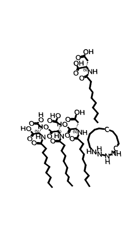 C1CCCCCNNNNCCCC1.CCCCCCCCCC(=O)N[C@@H](CC(=O)O)C(=O)O.CCCCCCCCCC(=O)N[C@@H](CC(=O)O)C(=O)O.CCCCCCCCCC(=O)N[C@@H](CC(=O)O)C(=O)O.CCCCCCCCCC(=O)N[C@@H](CC(=O)O)C(=O)O